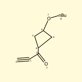 C#CC(=O)C1CC(OCCCC)C1